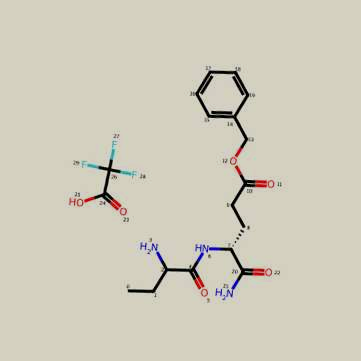 CCC(N)C(=O)N[C@H](CCC(=O)OCc1ccccc1)C(N)=O.O=C(O)C(F)(F)F